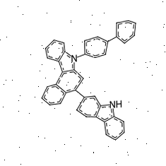 c1ccc(-c2ccc(-n3c4ccccc4c4c5ccccc5c(-c5ccc6c(c5)[nH]c5ccccc56)cc43)cc2)cc1